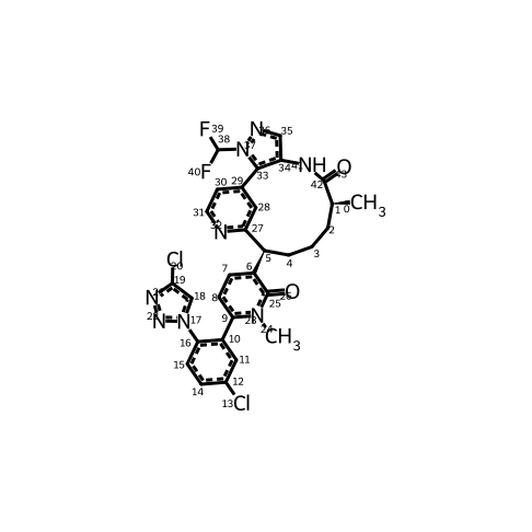 C[C@H]1CCC[C@@H](c2ccc(-c3cc(Cl)ccc3-n3cc(Cl)nn3)n(C)c2=O)c2cc(ccn2)-c2c(cnn2C(F)F)NC1=O